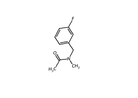 CC(=O)N(C)Cc1cccc(F)c1